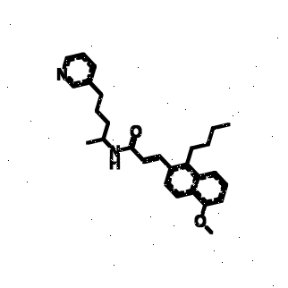 CCCCc1c(/C=C/C(=O)NC(C)CCCc2cccnc2)ccc2c(OC)cccc12